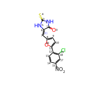 O=C1NC(=S)N/C1=C/c1ccc(-c2ccc([N+](=O)[O-])cc2Cl)o1